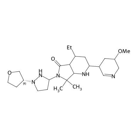 CCC1CC(C2C=NCC(OC)C2)NC2C1C(=O)N(C1CCN([C@@H]3CCOC3)N1)C2(C)C